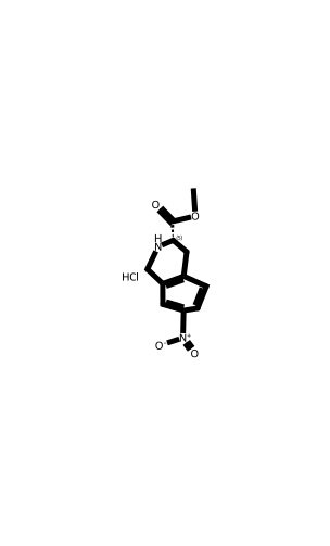 COC(=O)[C@@H]1Cc2ccc([N+](=O)[O-])cc2CN1.Cl